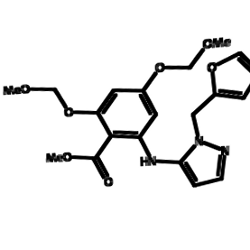 COCOc1cc(Nc2ccnn2Cc2ccco2)c(C(=O)OC)c(OCOC)c1